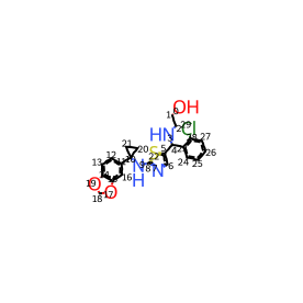 OCCNC(c1cnc(NC2(c3ccc4c(c3)OCO4)CC2)s1)c1ccccc1Cl